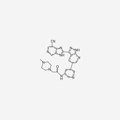 CN1CCN(CC(=O)Nc2cncc(-c3cnc4[nH]nc(-c5nc6c(C#N)cncc6[nH]5)c4c3)c2)CC1